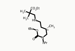 CCCN(C[C@@H](C)CCNCC(C)(C)C(=O)OCC)C(=O)OC(C)(C)C